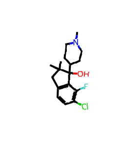 CN1CCC(C2(O)c3c(ccc(Cl)c3F)CC2(C)C)CC1